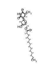 CCCCCCCCCCCCCC(=O)OC[C@H]1O[C@@H](n2cc(C)c(=O)[nH]c2=O)C[C@@H]1O